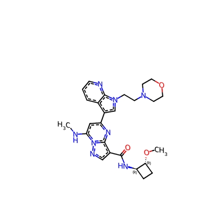 CNc1cc(-c2cn(CCN3CCOCC3)c3ncccc23)nc2c(C(=O)N[C@@H]3CC[C@H]3OC)cnn12